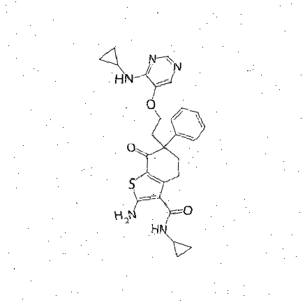 Nc1sc2c(c1C(=O)NC1CC1)CCC(CCOc1cncnc1NC1CC1)(c1ccccc1)C2=O